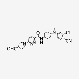 CN(c1ccc(C#N)c(Cl)c1)C1CCC(NC(=O)c2ccc(N3CCC(C=O)CC3)nn2)CC1